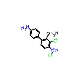 Nc1ccc(-c2ccc(NCl)c(Cl)c2S(=O)(=O)O)cc1